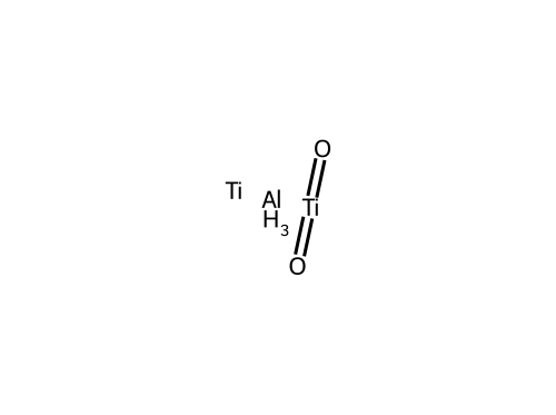 [AlH3].[O]=[Ti]=[O].[Ti]